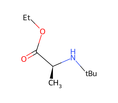 CCOC(=O)[C@H](C)NC(C)(C)C